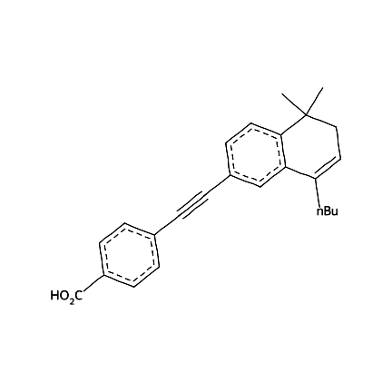 CCCCC1=CCC(C)(C)c2ccc(C#Cc3ccc(C(=O)O)cc3)cc21